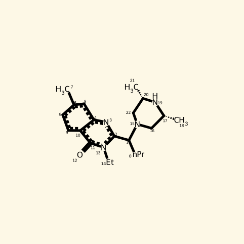 CCCC(c1nc2cc(C)ccc2c(=O)n1CC)N1C[C@@H](C)N[C@@H](C)C1